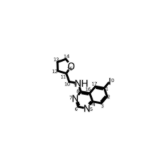 Ic1ccc2ncnc(NCC3CCCO3)c2c1